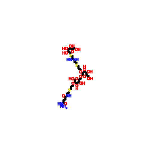 N=C(CSC1OC(CO)C(O)C(O)C1O)NCCSCCCOC1C(OCC2OC(O)C(OCCCSCCNC(=O)CCC(=O)NN)C(O)C2O)OC(CO)C(O)C1O